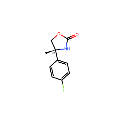 C[C@@]1(c2ccc(F)cc2)COC(=O)N1